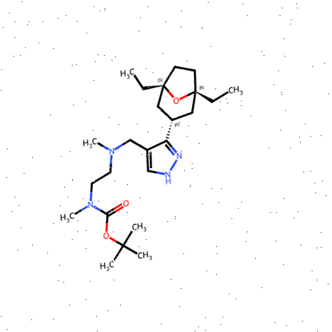 CC[C@]12CC[C@](CC)(C[C@H](c3n[nH]cc3CN(C)CCN(C)C(=O)OC(C)(C)C)C1)O2